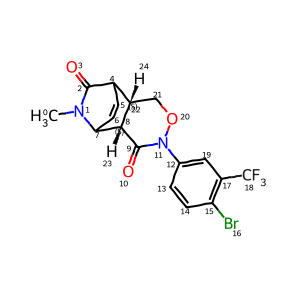 CN1C(=O)C2C=CC1[C@H]1C(=O)N(c3ccc(Br)c(C(F)(F)F)c3)OC[C@@H]21